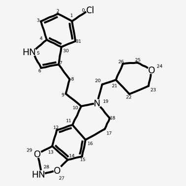 Clc1ccc2[nH]cc(CCC3c4cc5c(cc4CCN3CC3CCOCC3)ONO5)c2c1